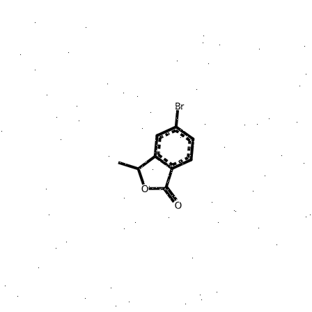 CC1OC(=O)c2ccc(Br)cc21